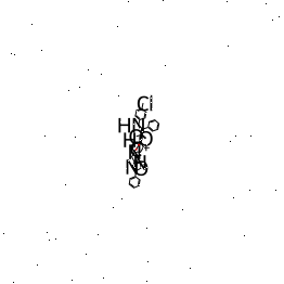 O=C(O[C@H]1C[N+]2(Cc3noc(-c4ccccc4)n3)CCC1CC2)C(Nc1ccc(Cl)cc1)c1ccccc1